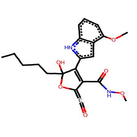 CCCCCC1(O)OC(=C=O)C(C(=O)NOC)=C1c1cc2c(OC)cccc2[nH]1